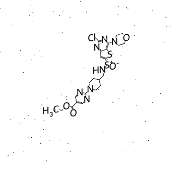 CCOC(=O)c1cnc(N2CCC(CN[S+]([O-])c3cc4nc(Cl)nc(N5CCOCC5)c4s3)CC2)nc1